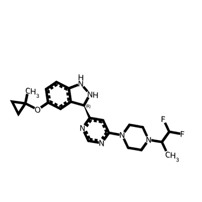 CC(C(F)F)N1CCN(c2cc([C@@H]3NNc4ccc(OC5(C)CC5)cc43)ncn2)CC1